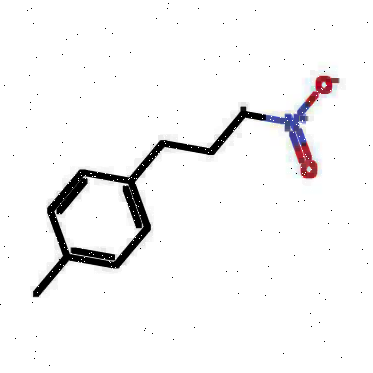 Cc1ccc(CC[CH][N+](=O)[O-])cc1